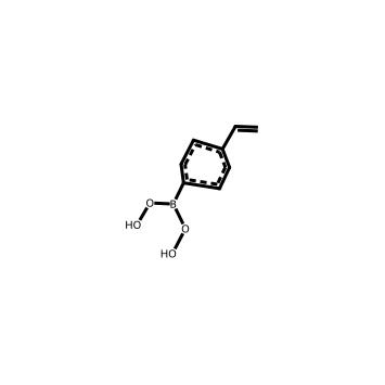 C=Cc1ccc(B(OO)OO)cc1